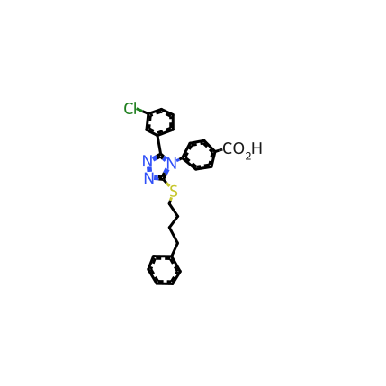 O=C(O)c1ccc(-n2c(SCCCCc3ccccc3)nnc2-c2cccc(Cl)c2)cc1